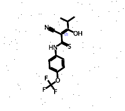 CC(C)/C(O)=C(\C#N)C(=S)Nc1ccc(OC(F)(F)F)cc1